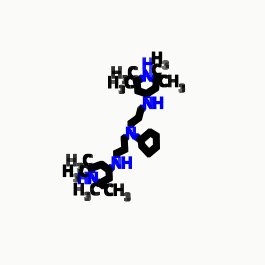 CC1(C)CC(NCCCN(CCCNC2CC(C)(C)NC(C)(C)C2)C2CCCCC2)CC(C)(C)N1